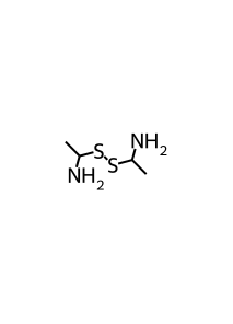 CC(N)SSC(C)N